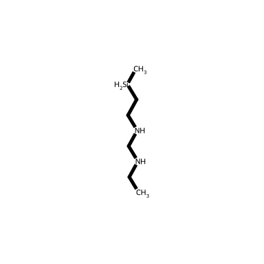 CCNCNCC[SiH2]C